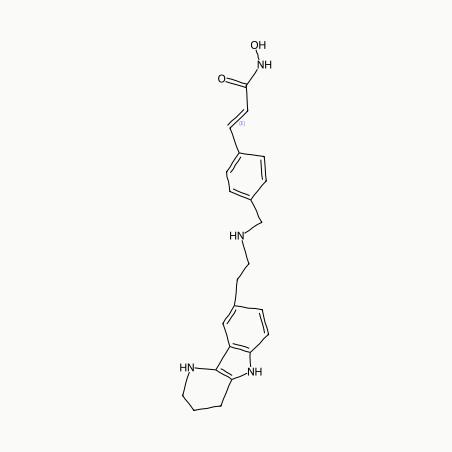 O=C(/C=C/c1ccc(CNCCc2ccc3[nH]c4c(c3c2)NCCC4)cc1)NO